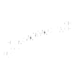 C=CC(=O)OCCN(CC)c1ccc(N=Nc2nc3sc(N=Nc4ccc(CCOC(=O)C(C)CC)cc4)cc3s2)cc1